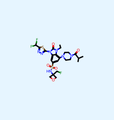 CCn1c(=O)n(-c2nnc(C(F)F)s2)c2cc(S(=O)(=O)NC3(CF)COC3)cc(N3CCN(C(=O)C(C)C)CC3)c21